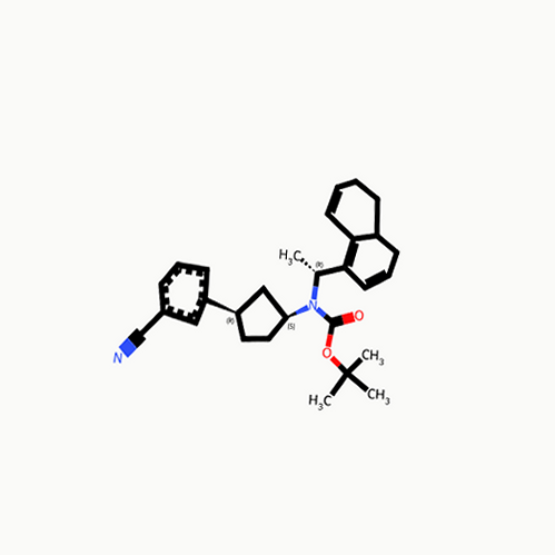 C[C@H](C1=C2C=CCCC2CC=C1)N(C(=O)OC(C)(C)C)[C@H]1CC[C@@H](c2cccc(C#N)c2)C1